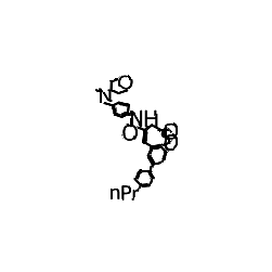 CCCc1ccc(-c2ccc3c(c2)C=C(C(=O)Nc2ccc(CN(C)C4CCOCC4)cc2)CCS3(=O)=O)cc1